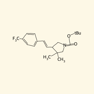 CC(C)(C)OC(=O)N1CC(C=Cc2ccc(C(F)(F)F)cc2)C(C)(C)C1